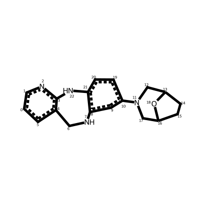 c1cnc2c(c1)CNc1cc(N3CC4CCC(C3)O4)ccc1N2